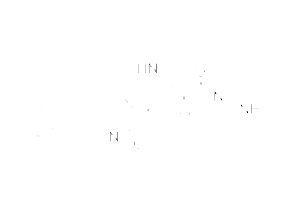 O=C(C(=O)N1CCNCC1)c1c[nH]c2ccc(C(=O)N3CCC(Cc4ccccc4)CC3)cc12